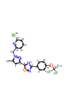 Cc1cc(-c2nc(-c3ccc(OC(F)(F)F)cc3)no2)nn1Cc1cccc(Br)n1